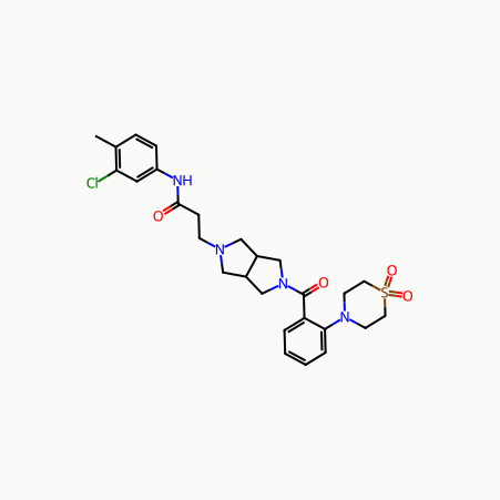 Cc1ccc(NC(=O)CCN2CC3CN(C(=O)c4ccccc4N4CCS(=O)(=O)CC4)CC3C2)cc1Cl